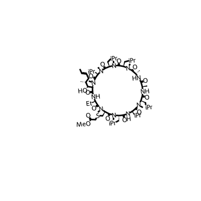 C/C=C/C[C@@H](C)[C@@H](O)[C@@H]1C(=O)N[C@H](CC)C(=O)N(C)[C@H](CSCC(=O)OC)C(=O)N(C)[C@@H](CC(C)C)C(=O)N[C@H](C(C)C)C(=O)N(C)[C@H](CC(C)C)C(=O)N[C@H](C)C(=O)N[C@@H](C)C(=O)N(C)[C@H](CC(C)C)C(=O)N(C)[C@H](CC(C)C)C(=O)N(C)[C@H](C(C)C)C(=O)N1C